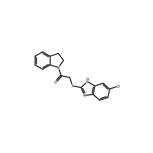 O=C(CSc1nc2ccc(Cl)cc2[nH]1)N1CCc2ccccc21